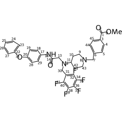 COC(=O)c1ccc(CN2CCC(N(CC(=O)Nc3ccc(Oc4ccccc4)cc3)Cc3c(F)c(F)c(F)c(F)c3F)CC2)cc1